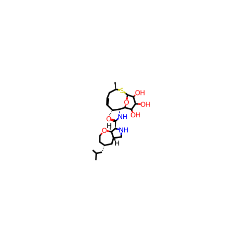 CC(C)C[C@@H]1CCO[C@@H]2[C@H](CN[C@@H]2C(=O)N[C@H]2C3OC(S[C@H](C)C/C=C\[C@H]2C)C(O)C(O)C3O)C1